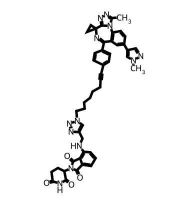 Cc1nnc2n1-c1ccc(-c3cnn(C)c3)cc1C(c1ccc(C#CCCCCCCn3cc(CNc4cccc5c4C(=O)N(C4CCC(=O)NC4=O)C5=O)nn3)cc1)=NC21CC1